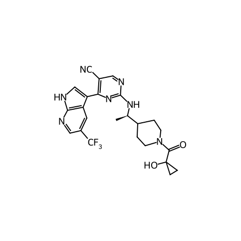 C[C@@H](Nc1ncc(C#N)c(-c2c[nH]c3ncc(C(F)(F)F)cc23)n1)C1CCN(C(=O)C2(O)CC2)CC1